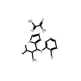 CC(C)C(N)C(Oc1ccccc1Cl)c1cccs1.O=C(O)C(=O)O